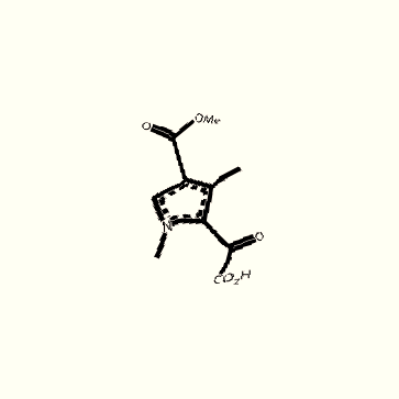 COC(=O)c1cn(C)c(C(=O)C(=O)O)c1C